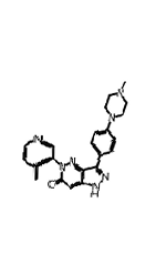 Cc1ccncc1-n1nc2c(-c3ccc(N4CCN(C)CC4)cc3)n[nH]c2cc1=O